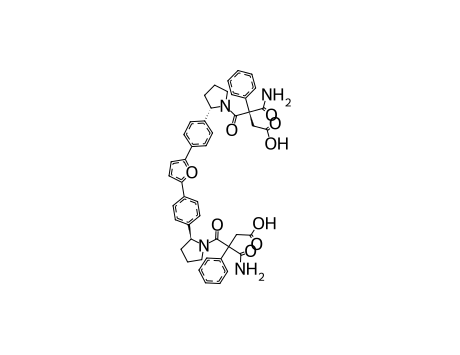 NC(=O)C(CC(=O)O)(C(=O)N1CCC[C@H]1c1ccc(-c2ccc(-c3ccc([C@@H]4CCCN4C(=O)[C@@](CC(=O)O)(C(N)=O)c4ccccc4)cc3)o2)cc1)c1ccccc1